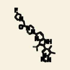 Cc1c(-c2[nH]c3ccc(N4CCN(C(=O)CN5CCC(F)C5)CC4)nc3c2C(C)C)cn2ncnc2c1C